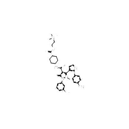 Cn1c(-c2ccnn2-c2ccc(C#N)cc2)c(C(=O)N[C@H]2CC[C@H](C(=O)OCC[N+](C)(C)C)CC2)c(=O)n1-c1cccc(C(F)(F)F)c1